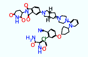 N#Cc1ccc(OC2CCC(N3CC=CC=C3N3CCN([C@H]4C[C@@H]5CN(c6ccc7c(c6)C(=O)N(C6CCC(=O)NC6=O)C7=O)C[C@@H]5C4)CC3)CC2)cc1Cl.NC(=O)C1=CC=CON1